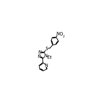 CCn1c(SCc2ccc([N+](=O)[O-])cc2)nnc1-c1ccccn1